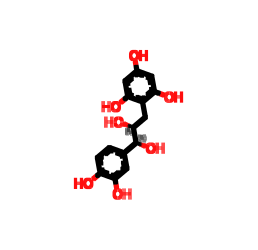 Oc1cc(O)c(C[C@H](O)[C@@H](O)c2ccc(O)c(O)c2)c(O)c1